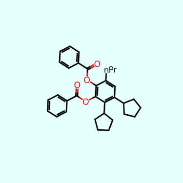 CCCc1cc(C2CCCC2)c(C2CCCC2)c(OC(=O)c2ccccc2)c1OC(=O)c1ccccc1